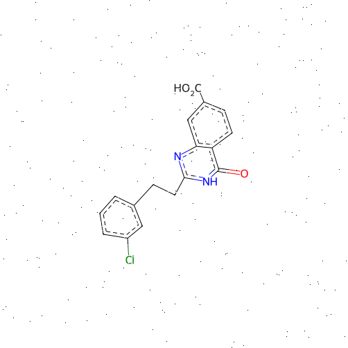 O=C(O)c1ccc2c(=O)[nH]c(CCc3cccc(Cl)c3)nc2c1